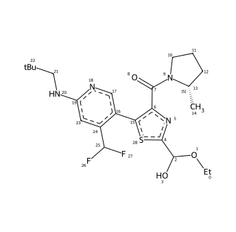 CCOC(O)c1nc(C(=O)N2CCC[C@@H]2C)c(-c2cnc(NCC(C)(C)C)cc2C(F)F)s1